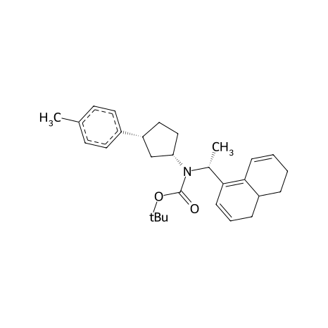 Cc1ccc([C@@H]2CC[C@H](N(C(=O)OC(C)(C)C)[C@H](C)C3=C4C=CCCC4CC=C3)C2)cc1